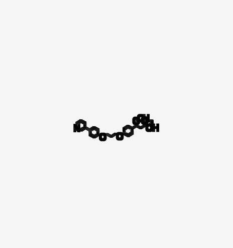 COC(CC(=O)O)c1ccc(OCCCOc2ccc(-c3cccnc3)cc2)cc1